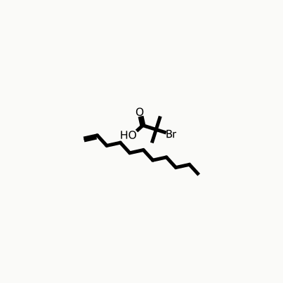 C=CCCCCCCCCC.CC(C)(Br)C(=O)O